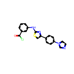 O=C(Cl)c1cccc(Nc2nc(-c3ccc(-n4ccnc4)cc3)cs2)c1